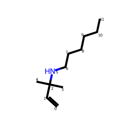 C=CC(C)(C)NCCCCCC